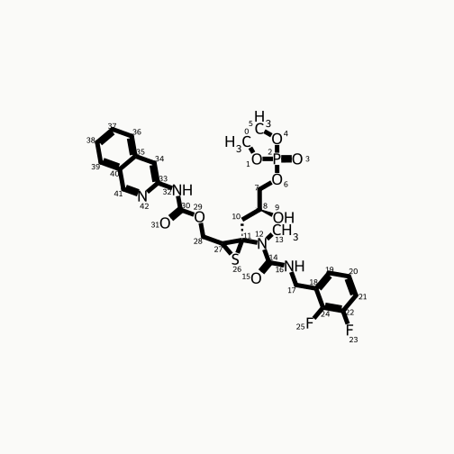 COP(=O)(OC)OC[C@@H](O)C[C@]1(N(C)C(=O)NCc2cccc(F)c2F)SC1COC(=O)Nc1cc2ccccc2cn1